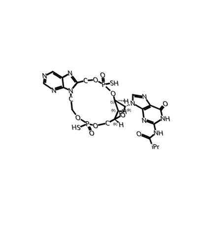 CC(C)C(=O)Nc1nc2c(ncn2[C@@H]2O[C@@H]3COP(=O)(S)OCCn4c(nc5cncnc54)COP(=O)(S)O[C@@H]2[C@@H]3F)c(=O)[nH]1